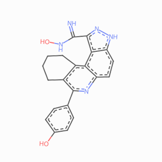 N=C(NO)c1n[nH]c2ccc3nc(-c4ccc(O)cc4)c4c(c3c12)CCCC4